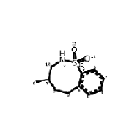 C[C@@H]1CCc2ccccc2S(=O)(=O)NC1